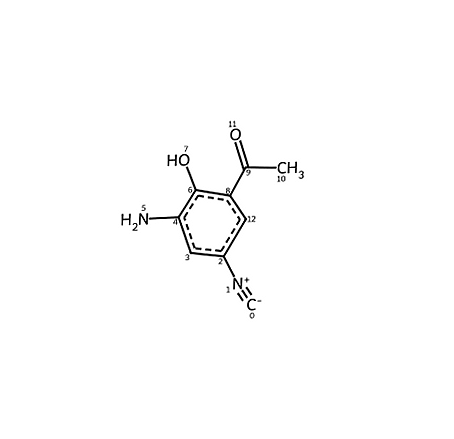 [C-]#[N+]c1cc(N)c(O)c(C(C)=O)c1